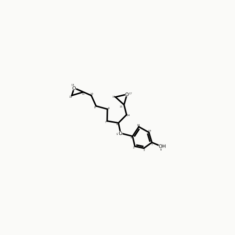 Oc1ccc(OC(CCCCC2CO2)CC2CO2)cc1